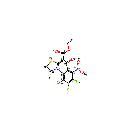 CCOC(=O)c1c2n(c3c(Cl)c(F)c(F)c([N+](=O)[O-])c3c1=O)[C@H](C)CS2